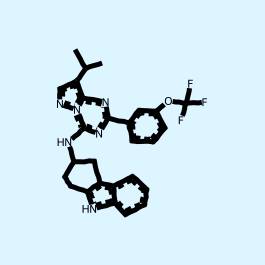 CC(C)c1cnn2c(NC3CCc4[nH]c5ccccc5c4C3)nc(-c3cccc(OC(F)(F)F)c3)nc12